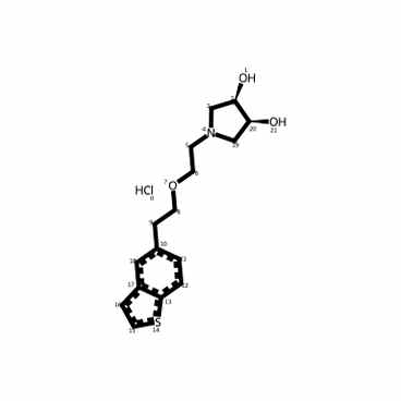 Cl.O[C@@H]1CN(CCOCCc2ccc3sccc3c2)C[C@@H]1O